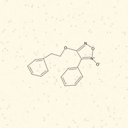 [O-][n+]1onc(OCCc2ccccc2)c1-c1ccccc1